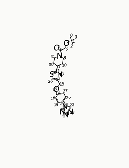 CC(C)(C)OCC(=O)N1CCC(c2nc(COc3ccc(-n4cnnn4)cc3)cs2)CC1